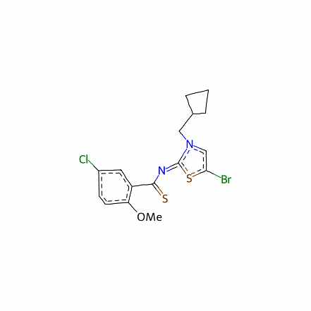 COc1ccc(Cl)cc1C(=S)/N=c1\sc(Br)cn1CC1CCC1